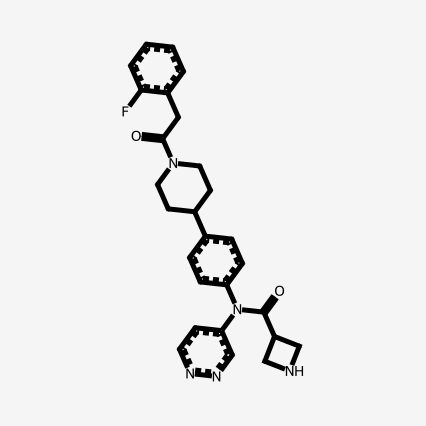 O=C(Cc1ccccc1F)N1CCC(c2ccc(N(C(=O)C3CNC3)c3ccnnc3)cc2)CC1